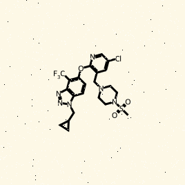 CS(=O)(=O)N1CCN(Cc2cc(Cl)cnc2Oc2ccc3c(nnn3CC3CC3)c2C(F)(F)F)CC1